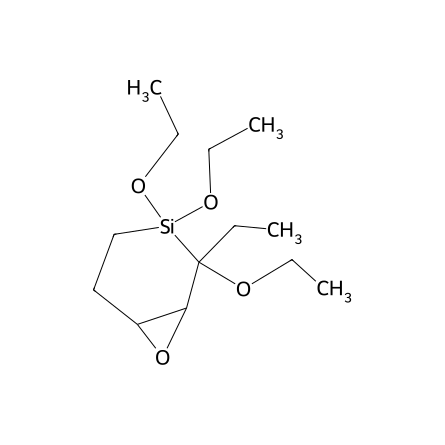 CCOC1(CC)C2OC2CC[Si]1(OCC)OCC